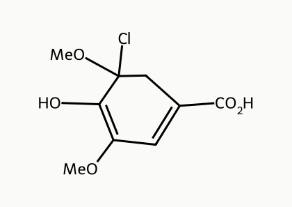 COC1=C(O)C(Cl)(OC)CC(C(=O)O)=C1